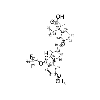 COc1ccc(C(C)OCC(F)(F)F)c(N2CCC(COc3cccc(C(CC(=O)O)C4CC4)c3)CC2)c1